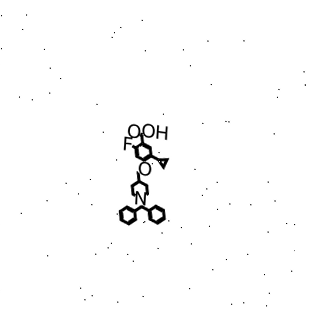 O=C(O)c1cc(C2CC2)c(OCC2CCN(C(c3ccccc3)c3ccccc3)CC2)cc1F